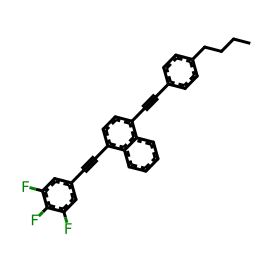 CCCCc1ccc(C#Cc2ccc(C#Cc3cc(F)c(F)c(F)c3)c3ccccc23)cc1